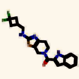 O=C(c1cc2ccccc2[nH]1)N1CCc2nc(NCC3CC(F)(F)C3)sc2C1